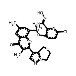 Cc1cc([C@@H](C)Oc2ccc(Cl)nc2C(N)=NO)c2oc(-c3cnn4c3COCC4)c(C)c(=O)c2c1